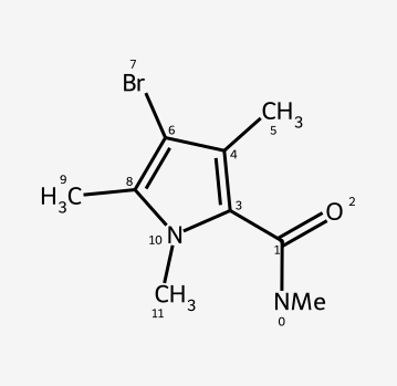 CNC(=O)c1c(C)c(Br)c(C)n1C